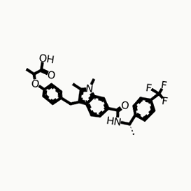 Cc1c(Cc2ccc(OC(C)C(=O)O)cc2)c2ccc(C(=O)N[C@@H](C)c3ccc(C(F)(F)F)cc3)cc2n1C